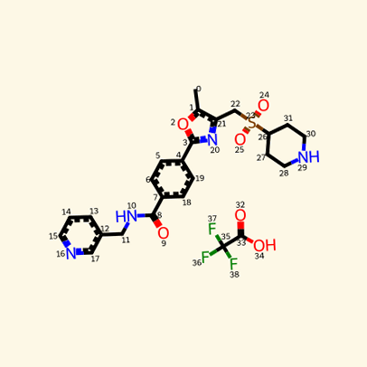 Cc1oc(-c2ccc(C(=O)NCc3cccnc3)cc2)nc1CS(=O)(=O)C1CCNCC1.O=C(O)C(F)(F)F